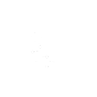 CCC(C)=C(OC(C)=O)C(=O)Oc1ccccc1